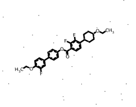 CCOc1ccc(-c2ccc(OC(=O)c3ccc(C4CCC(OCC)CC4)c(F)c3F)cc2)cc1F